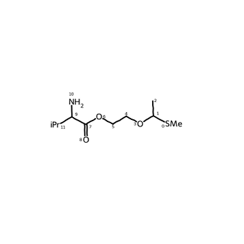 CSC(C)OCCOC(=O)C(N)C(C)C